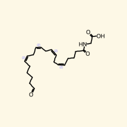 O=CCCCC/C=C\C/C=C\C/C=C\C/C=C\CCCC(=O)NCC(=O)O